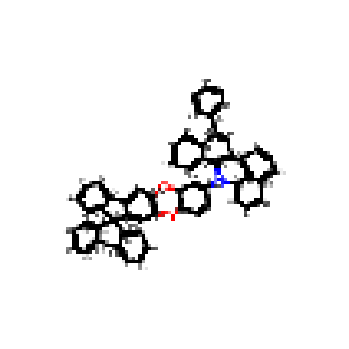 C1=CC2Oc3cc4c(cc3OC2C=C1N(c1cccc2ccccc12)c1ccc(-c2ccccc2)c2ccccc12)-c1ccccc1C41c2ccccc2-c2ccccc21